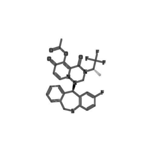 CC(=O)Oc1c2n(ccc1=O)N([C@@H]1c3ccccc3CSc3ccc(F)cc31)CN([C@@H](C)C(F)(F)F)C2=O